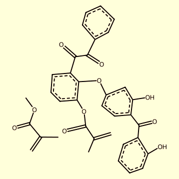 C=C(C)C(=O)OC.C=C(C)C(=O)Oc1cccc(C(=O)C(=O)c2ccccc2)c1Oc1ccc(C(=O)c2ccccc2O)c(O)c1